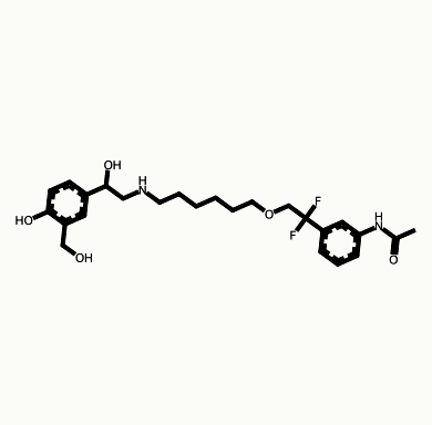 CC(=O)Nc1cccc(C(F)(F)COCCCCCCNCC(O)c2ccc(O)c(CO)c2)c1